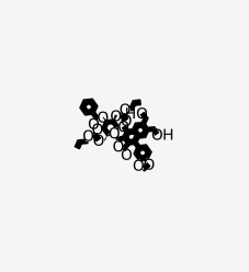 C=CCOC(=O)O[C@H]1[C@H](OC(=O)c2ccccc2)[C@@H](OC(=O)OCC=C)C(Oc2c3c(c(-c4ccc5c(c4)OCO5)c4cc(CO)c(CO)cc24)C(=O)OC3)O[C@@H]1C